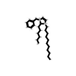 CCCCCCCCCCCN1C=CN(Cc2ccccc2)C1CCCCCC